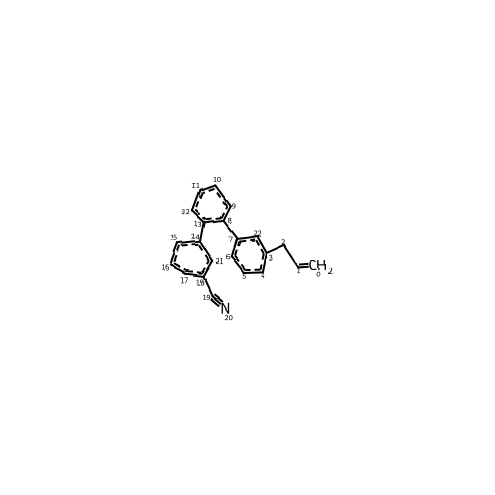 C=CCc1cccc(-c2ccccc2-c2cccc(C#N)c2)c1